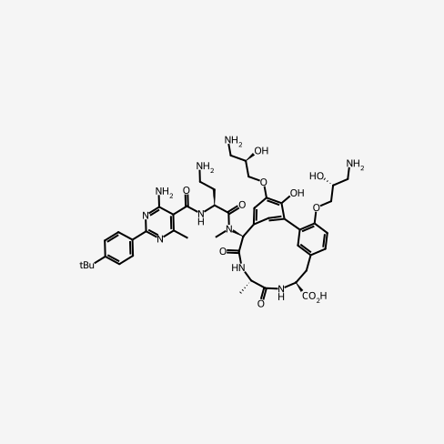 Cc1nc(-c2ccc(C(C)(C)C)cc2)nc(N)c1C(=O)N[C@@H](CCN)C(=O)N(C)[C@@H]1C(=O)N[C@@H](C)C(=O)N[C@H](C(=O)O)Cc2ccc(OC[C@H](O)CN)c(c2)-c2cc1cc(OC[C@H](O)CN)c2O